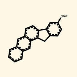 COc1ccc2c(c1)-c1ccc3cc4ccccc4cc3c1C2